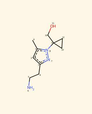 Cc1cc(CCN)nn1C1(CO)CC1